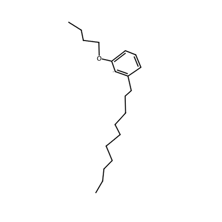 CCCCCCCCCCc1[c]c(OCCCC)ccc1